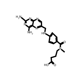 CN(CCCC(=O)O)C(=O)c1ccc(NCc2cnc3nc(N)nc(N)c3n2)cc1